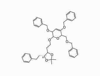 CC1(C)OC(CCOC2OC(COCc3ccccc3)C(OCc3ccccc3)=CC2OCc2ccccc2)[C@@H](CCc2ccccc2)O1